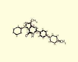 Cc1nn(C2CCCCC2)c2c(=O)[nH]c(-c3ccc(N4CCN(C)CC4)cc3)nc12